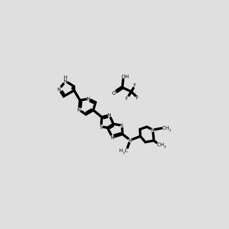 CC1CC(N(C)c2nc3sc(-c4cnc(-c5cn[nH]c5)nc4)nc3s2)CCN1C.O=C(O)C(F)(F)F